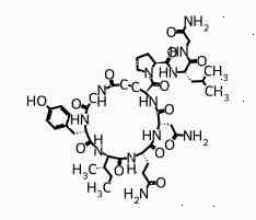 CC[C@H](C)[C@H]1NC(=O)[C@H](Cc2ccc(O)cc2)NC(=O)CNC(=O)CC[C@@H](C(=O)N2CCC[C@H]2C(=O)N[C@@H](CC(C)C)C(=O)NCC(N)=O)NC(=O)[C@H](CC(N)=O)NC(=O)[C@H](CCC(N)=O)NC1=O